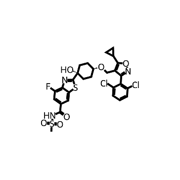 CS(=O)(=O)NC(=O)c1cc(F)c2nc([C@]3(O)CC[C@@H](OCc4c(-c5c(Cl)cccc5Cl)noc4C4CC4)CC3)sc2c1